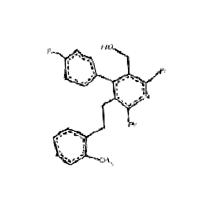 Cc1ccccc1CCc1c(C(C)C)nc(C(C)C)c(CO)c1-c1ccc(F)cc1